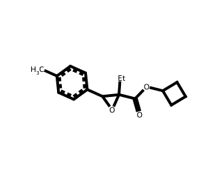 CCC1(C(=O)OC2CCC2)OC1c1ccc(C)cc1